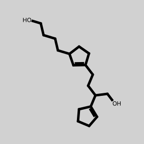 OCCCCC1C=C(CCC(CO)C2=CCCC2)CC1